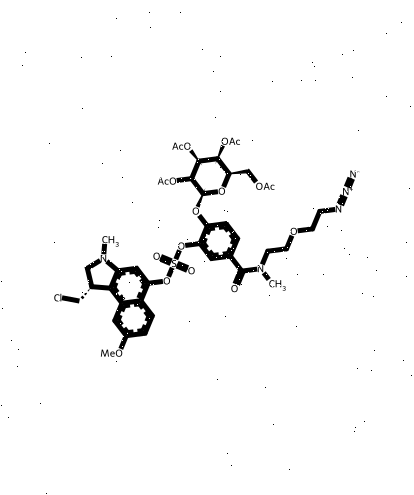 COc1ccc2c(OS(=O)(=O)Oc3cc(C(=O)N(C)CCOCCN=[N+]=[N-])ccc3O[C@@H]3O[C@H](COC(C)=O)[C@H](OC(C)=O)[C@H](OC(C)=O)C3OC(C)=O)cc3c(c2c1)[C@H](CCl)CN3C